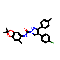 Cc1ccc(C2=C(c3ccc(Cl)cc3)CN(C(=O)Nc3cc4c(cc3C)OC(C)(C)O4)N2)cc1